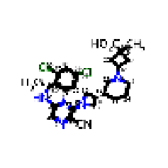 C[C@@H](Nc1cnc(C#N)c(N2CC([C@H]3CCCN(C4CC(C)(C(=O)O)C4)C3)C2)n1)c1ccc(Cl)cc1Cl